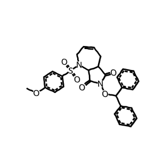 COc1ccc(S(=O)(=O)N2CC=CCC3C(=O)N(OC(c4ccccc4)c4ccccc4)C(=O)C32)cc1